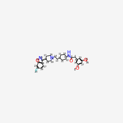 COc1cc(CC(=O)N[C@H]2CC[C@H](CCN3CCC(c4noc5cc(F)ccc45)CC3)CC2)cc(OC)c1